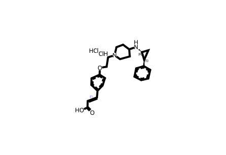 Cl.Cl.O=C(O)/C=C/c1ccc(OCCN2CCC(N[C@@H]3C[C@H]3c3ccccc3)CC2)cc1